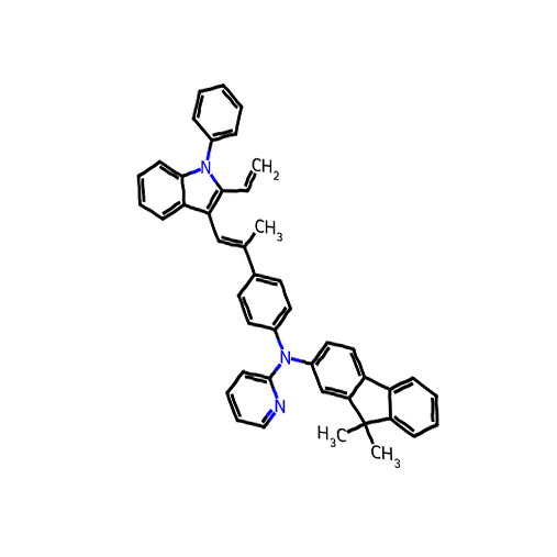 C=Cc1c(/C=C(\C)c2ccc(N(c3ccc4c(c3)C(C)(C)c3ccccc3-4)c3ccccn3)cc2)c2ccccc2n1-c1ccccc1